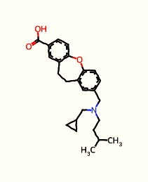 CC(C)CCN(Cc1ccc2c(c1)CCc1cc(C(=O)O)ccc1O2)CC1CC1